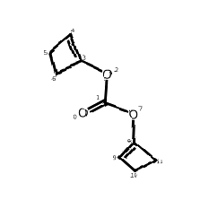 O=C(OC1=CCC1)OC1=CCC1